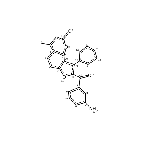 Cc1cc(=O)oc2c1ccc1oc(C(=O)c3cccc(N)c3)c(-c3ccccc3)c12